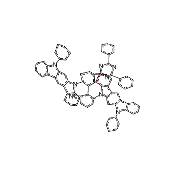 N#Cc1cccc(-n2c3ccccc3c3cc4c5ccccc5n(-c5ccccc5)c4cc32)c1-c1cc(-c2nc(-c3ccccc3)nc(-c3ccccc3)n2)ccc1-n1c2ccccc2c2cc3c4ccccc4n(-c4ccccc4)c3cc21